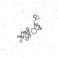 O=C(NC1CC1)NS(=O)(=O)c1ccc2ncn(CC3CCO3)c2c1